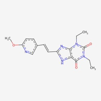 CCn1c(=O)c2[nH]c(C=Cc3ccc(OC)nc3)nc2n(CC)c1=O